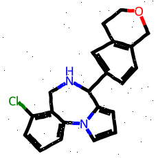 Clc1cccc2c1CNC(c1ccc3c(c1)CCOC3)c1cccn1-2